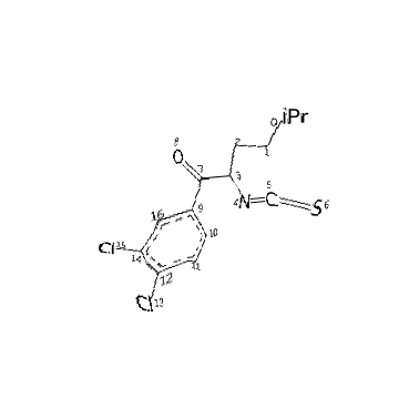 CC(C)CCC(N=C=S)C(=O)c1ccc(Cl)c(Cl)c1